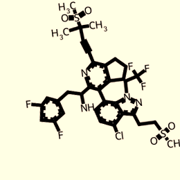 CC(C)(C#Cc1nc(C(N)Cc2cc(F)cc(F)c2)c(-c2ccc(Cl)c3c(CCS(C)(=O)=O)nn(CC(F)(F)F)c23)c2c1CCC2)S(C)(=O)=O